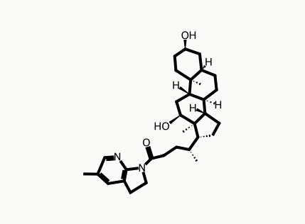 Cc1cnc2c(c1)CCN2C(=O)CC[C@@H](C)[C@H]1CC[C@H]2[C@@H]3CC[C@@H]4C[C@H](O)CC[C@]4(C)[C@H]3C[C@H](O)[C@]12C